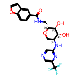 O=C(NC[C@H]1OC[C@H](Nc2cncc(C(F)(F)F)n2)[C@@H](O)[C@H]1O)c1ccc2occc2c1